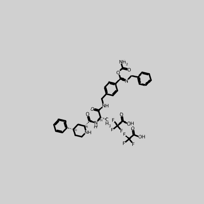 C[C@H](NC(=O)[C@H]1C[C@@H](c2ccccc2)CCN1)C(=O)NCc1ccc(C(=NCc2ccccc2)OC(N)=O)cc1.O=C(O)C(F)(F)F.O=C(O)C(F)(F)F